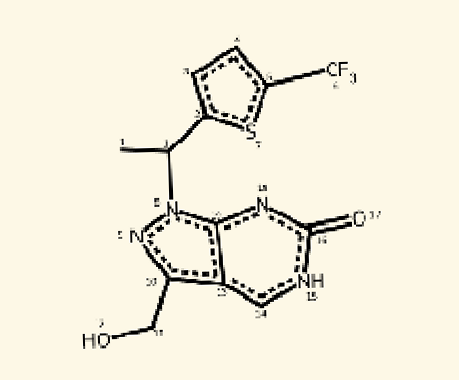 CC(c1ccc(C(F)(F)F)s1)n1nc(CO)c2c[nH]c(=O)nc21